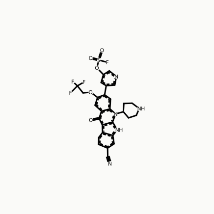 N#Cc1ccc2c(c1)[nH]c1c2c(=O)c2cc(OCC(F)(F)F)c(-c3cncc(OS(=O)(=O)F)c3)cc2n1C1CCNCC1